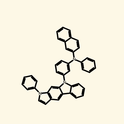 c1ccc(N(c2cccc(-n3c4ccccc4c4cc5ccn(-c6ccccc6)c5cc43)c2)c2ccc3ccccc3c2)cc1